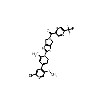 COc1cnc(Cl)cc1C1=CCN(c2nc3c(s2)CN(C(=O)c2cnc(C(F)(F)F)cn2)C3)C(C)=C1